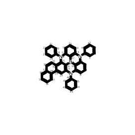 c1ccc(N2c3cccc4c3B3c5c2cccc5N(c2ccccc2)c2c3c(cc3c2ccc2ccccc23)N4c2ccccc2)cc1